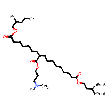 CCCCCC(CCCCC)CCOC(=O)CCCCCCCCC(CCCCCCC(=O)OCC(CCC(C)C)C(C)C)C(=O)OCCCN(C)C(C)C